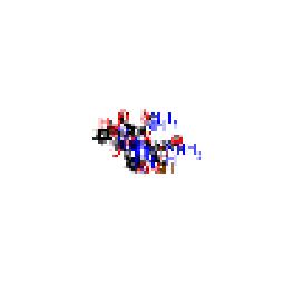 NC(=O)NCCC[C@H](NC(=O)[C@H](CCCNC(N)=O)NC(=O)[C@@H](N)CS)C(=O)N[C@@H](Cc1ccc(O)cc1)C(=O)N[C@@H](Cc1ccccc1)C(=O)N1CCC[C@H]1C(=O)O